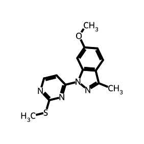 COc1ccc2c(C)nn(-c3ccnc(SC)n3)c2c1